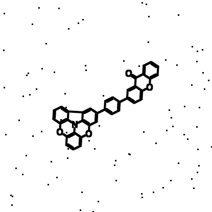 O=c1c2ccccc2oc2ccc(-c3ccc(-c4cc5c6c(c4)c4cccc7c4n6-c4c(cccc4O5)O7)cc3)cc12